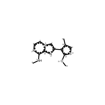 CNc1nccn2cc(-c3c(C)csc3OC)nc12